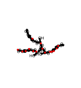 C=CC(=O)OCCOc1ccc(C(C)(C)c2ccc(OCCOC(=O)CCN(CCCCO)CCC(=O)OCC(CC)(COC(=O)CCN(CCCCO)CCC(=O)OCCOc3ccc(C(C)(C)c4ccc(OCCOC(=O)C=C)cc4)cc3)COC(=O)CCN(CCCCO)CCC(=O)OCCOc3ccc(C(C)(C)c4ccc(OCCOC(=O)C=C)cc4)cc3)cc2)cc1